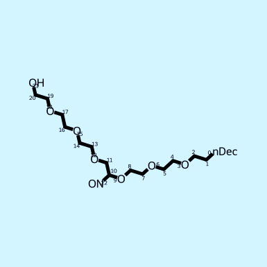 CCCCCCCCCCCCOCCOCCOC(COCCOCCOCCO)N=O